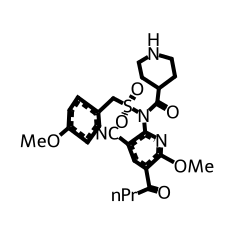 CCCC(=O)c1cc(C#N)c(N(C(=O)C2CCNCC2)S(=O)(=O)Cc2ccc(OC)cc2)nc1OC